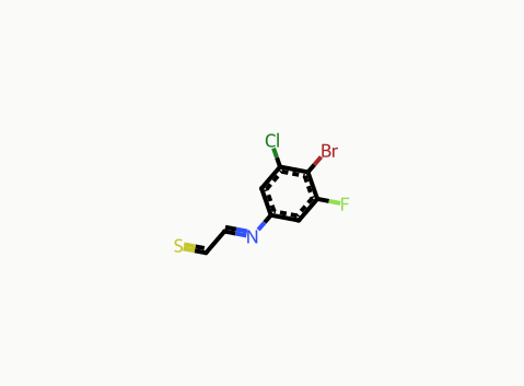 Fc1cc(N=CC=S)cc(Cl)c1Br